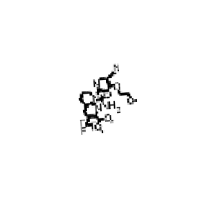 COCCOc1cc([N+]2(C(N)=O)CCCc3cc(C(F)(F)F)c(C(OC)OC)nc32)ncc1C#N